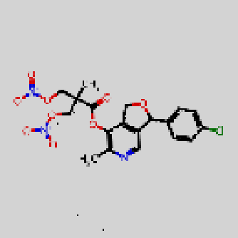 Cc1ncc2c(c1OC(=O)C(C)(CO[N+](=O)[O-])CO[N+](=O)[O-])COC2c1ccc(Cl)cc1